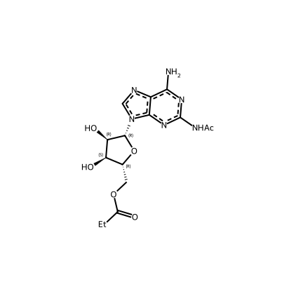 CCC(=O)OC[C@H]1O[C@@H](n2cnc3c(N)nc(NC(C)=O)nc32)[C@H](O)[C@@H]1O